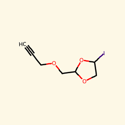 C#CCOCC1OCC(I)O1